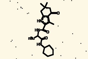 CCCCC(NC(=O)c1[nH]c2c(c1C)C(=O)CC(C)(C)C2)C(=O)NC1CCCCC1